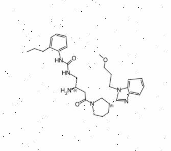 CCCc1ccccc1NC(=O)NC[C@H](N)CC(=O)N1CCC[C@@H](c2nc3ccccc3n2CCCOC)C1